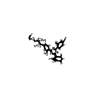 CCOCC(O)C(O)c1ccc(-c2nc(-c3ccc(C)cc3C)nc(-c3ccc(C)cc3C)n2)c(O)c1